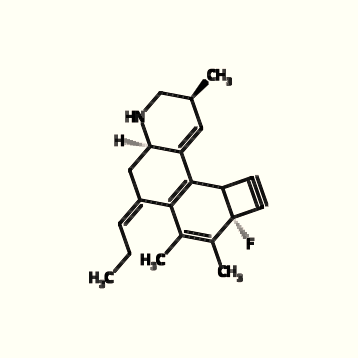 CC/C=C1/C[C@H]2NC[C@@H](C)C=C2C2=C1C(C)=C(C)[C@]1(F)C#CC21